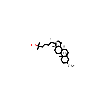 CC(=O)O[C@H]1CC[C@@]2(C)C(=CC[C@H]3[C@@H]4CC[C@H]([C@@H](C)CCCC(C)(C)O)[C@@]4(C)CC[C@@H]32)C1